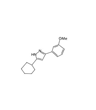 COc1cccc(-c2cc(C3CCCCC3)[nH]n2)c1